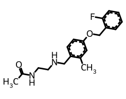 CC(=O)NCCNCc1ccc(OCc2ccccc2F)cc1C